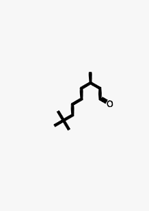 CC(CC=O)CCCCC(C)(C)C